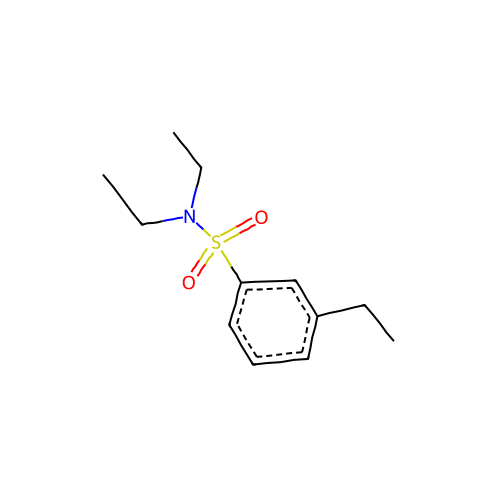 CCc1cccc(S(=O)(=O)N(CC)CC)c1